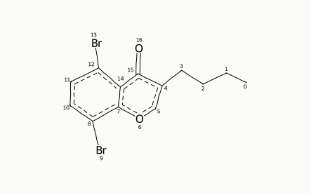 CCCCc1coc2c(Br)ccc(Br)c2c1=O